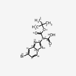 CC(C)(C)OC(=O)N(C(=O)O)c1nc2cc(Br)ccn2n1